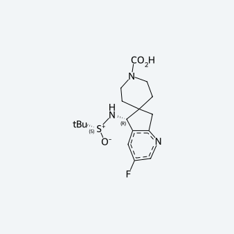 CC(C)(C)[S@@+]([O-])N[C@H]1c2cc(F)cnc2CC12CCN(C(=O)O)CC2